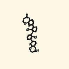 Clc1c(-c2ccc3c(n2)OCCNC3)cccc1-c1cccc(-c2ccc3c(n2)OCCNC3)c1Cl